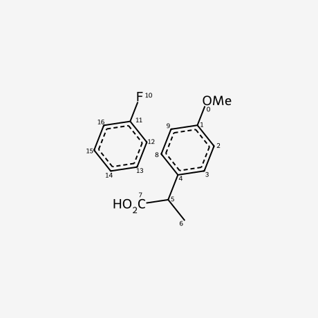 COc1ccc(C(C)C(=O)O)cc1.Fc1ccccc1